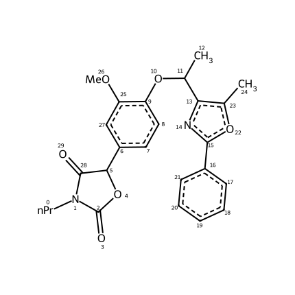 CCCN1C(=O)OC(c2ccc(OC(C)c3nc(-c4ccccc4)oc3C)c(OC)c2)C1=O